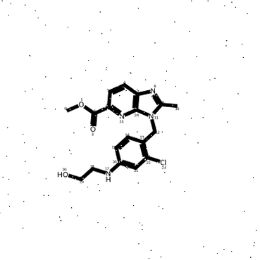 COC(=O)c1ccc2nc(C)n(Cc3ccc(NCCO)cc3Cl)c2n1